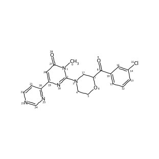 Cn1c(N2CCOC(C(=O)c3cccc(Cl)c3)C2)nc(-c2ccncn2)cc1=O